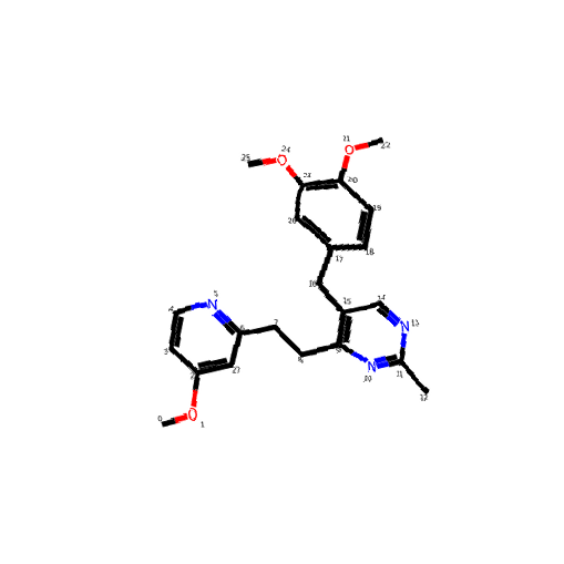 COc1ccnc(CCc2nc(C)n[c]c2Cc2ccc(OC)c(OC)c2)c1